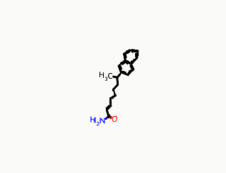 CC(CCCC/C=C/C(N)=O)c1ccc2ccccc2c1